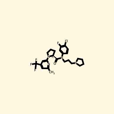 Cc1cc(C(F)(F)F)cc(N2CCC[C@H]2C(=O)N(CCCN2CCCC2)c2ccc(Cl)c(F)c2)n1